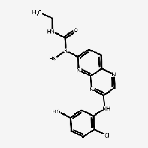 CCNC(=O)N(S)c1ccc2ncc(Nc3cc(O)ccc3Cl)nc2n1